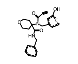 C#CC(=O)N(Cc1cccc(O)c1)C1(C(=O)NCc2ccccc2)CCOCC1